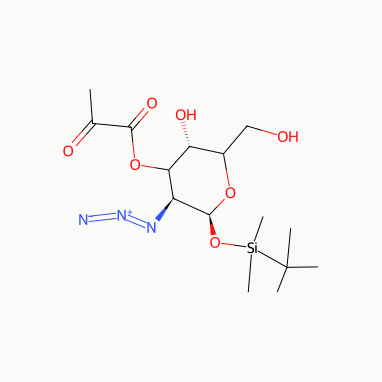 CC(=O)C(=O)OC1[C@H](O)C(CO)O[C@@H](O[Si](C)(C)C(C)(C)C)[C@H]1N=[N+]=[N-]